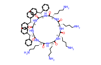 NCCCC[C@@H]1NC(=O)[C@H](CCCCN)NC(=O)[C@H](CCCCN)NC(=O)[C@H](C(c2ccccc2)c2ccccc2)NC(=O)[C@H](C(c2ccccc2)c2ccccc2)NC(=O)[C@H](C(c2ccccc2)c2ccccc2)NC(=O)[C@H](CCCCN)NC(=O)[C@H](CCCCN)NC1=O